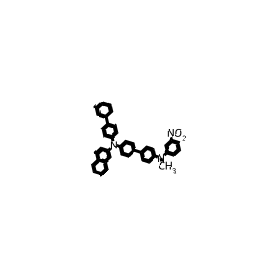 CN(c1ccc(-c2ccc(N(c3ccc(-c4ccccc4)cc3)c3ccc4ccccc4c3)cc2)cc1)c1cccc([N+](=O)[O-])c1